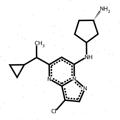 CC(c1cc(NC2CC[C@H](N)C2)n2ncc(Cl)c2n1)C1CC1